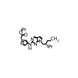 C=CC[C@H](Cn1ccc2cnc(Nc3cnn(CC(=O)OC(C)C)c3)nc21)C(C)C